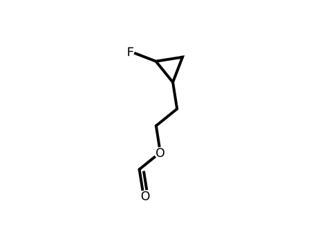 O=COCCC1CC1F